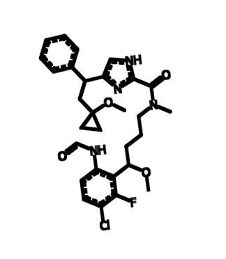 COC(CCCN(C)C(=O)c1nc(C(CC2(OC)CC2)c2ccccc2)c[nH]1)c1c(NC=O)ccc(Cl)c1F